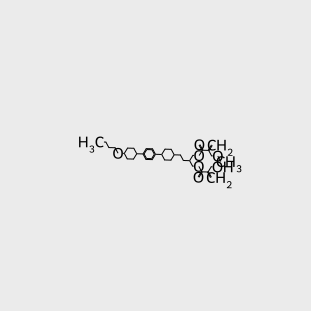 C=C(CO)C(=O)OCC(CCC1CCC(c2ccc(C3CCC(OCCCC)CC3)cc2)CC1)COC(=O)C(=C)COC